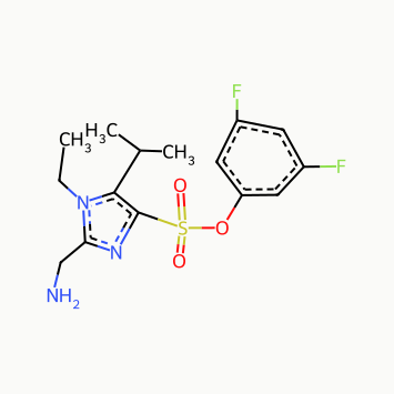 CCn1c(CN)nc(S(=O)(=O)Oc2cc(F)cc(F)c2)c1C(C)C